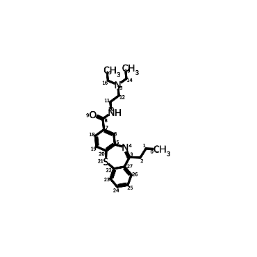 CCCC1=Nc2cc(C(=O)NCCN(CC)CC)ccc2Sc2ccccc21